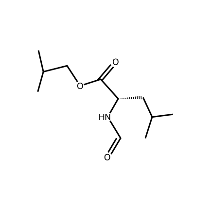 CC(C)COC(=O)[C@H](CC(C)C)NC=O